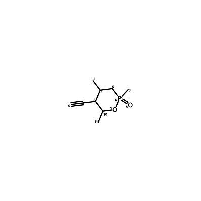 C#CC1C(C)CP(C)(=O)OC1C